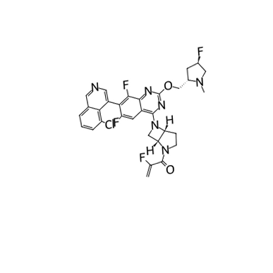 C=C(F)C(=O)N1CC[C@@H]2[C@H]1CN2c1nc(OC[C@@H]2C[C@@H](F)CN2C)nc2c(F)c(-c3cncc4cccc(Cl)c34)c(F)cc12